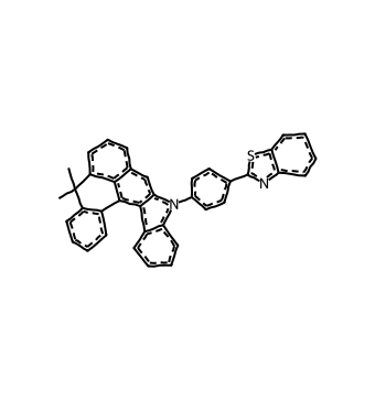 CC1(C)c2ccccc2-c2c3c1cccc3cc1c2c2ccccc2n1-c1ccc(-c2nc3ccccc3s2)cc1